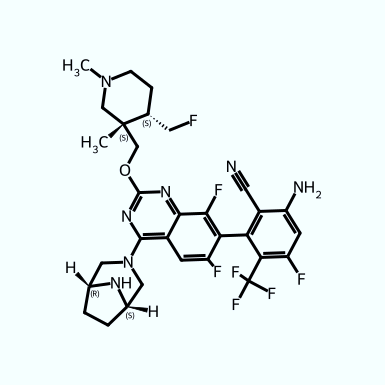 CN1CC[C@H](CF)[C@](C)(COc2nc(N3C[C@H]4CC[C@@H](C3)N4)c3cc(F)c(-c4c(C#N)c(N)cc(F)c4C(F)(F)F)c(F)c3n2)C1